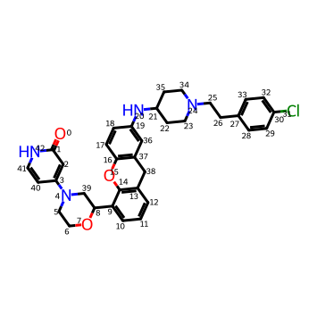 O=c1cc(N2CCOC(c3cccc4c3Oc3ccc(NC5CCN(CCc6ccc(Cl)cc6)CC5)cc3C4)C2)cc[nH]1